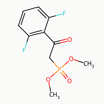 COP(=O)(CC(=O)c1c(F)cccc1F)OC